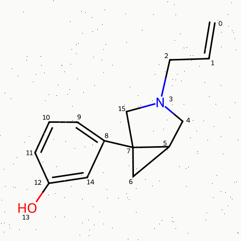 C=CCN1CC2CC2(c2cccc(O)c2)C1